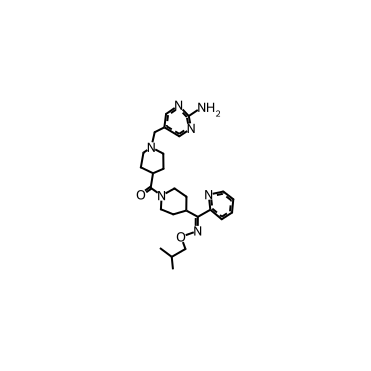 CC(C)CON=C(c1ccccn1)C1CCN(C(=O)C2CCN(Cc3cnc(N)nc3)CC2)CC1